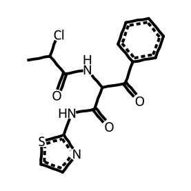 CC(Cl)C(=O)NC(C(=O)Nc1nccs1)C(=O)c1ccccc1